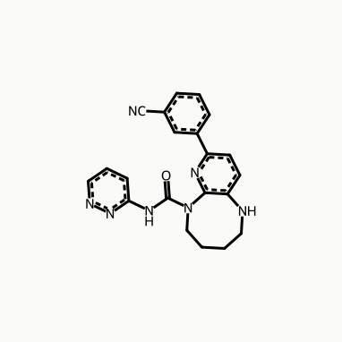 N#Cc1cccc(-c2ccc3c(n2)N(C(=O)Nc2cccnn2)CCCCN3)c1